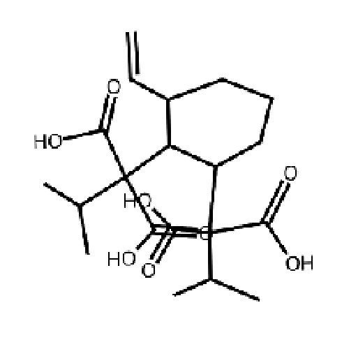 C=CC1CCCC(C(C(=O)O)(C(=O)O)C(C)C)C1C(C(=O)O)(C(=O)O)C(C)C